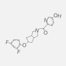 O=C(CN1CC2CC(Oc3ccc(F)cc3F)CC2C1)c1ccc(O)cn1